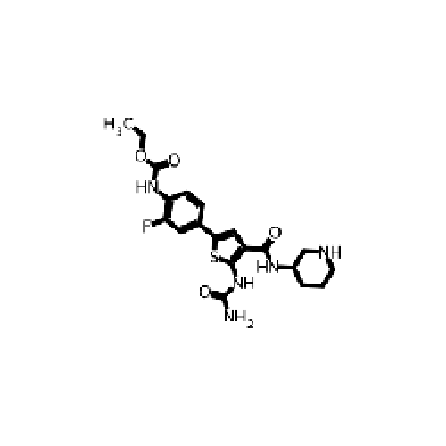 CCOC(=O)Nc1ccc(-c2cc(C(=O)NC3CCCNC3)c(NC(N)=O)s2)cc1F